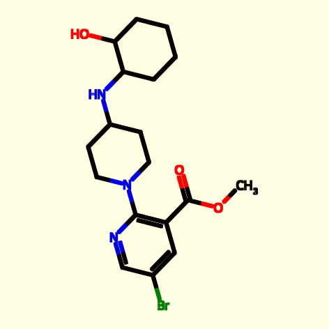 COC(=O)c1cc(Br)cnc1N1CCC(NC2CCCCC2O)CC1